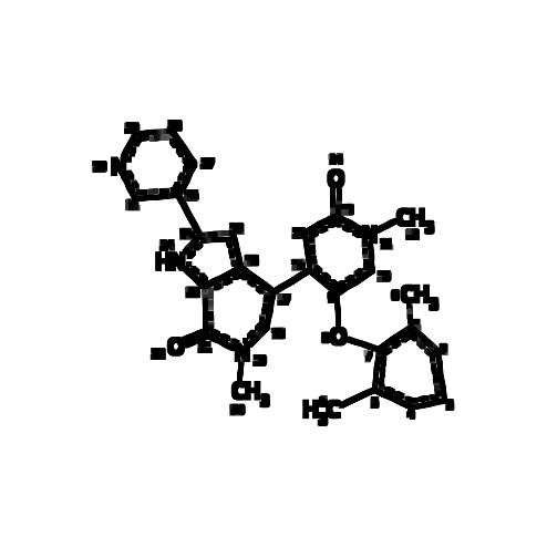 Cc1cccc(C)c1Oc1cn(C)c(=O)cc1-c1cn(C)c(=O)c2[nH]c(-c3cccnc3)cc12